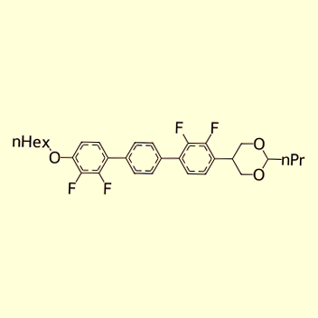 CCCCCCOc1ccc(-c2ccc(-c3ccc(C4COC(CCC)OC4)c(F)c3F)cc2)c(F)c1F